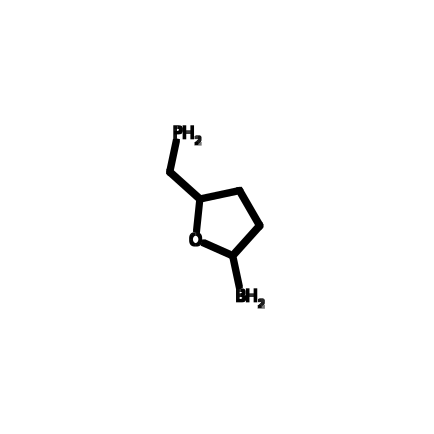 BC1CCC(CP)O1